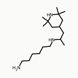 CC(CC1CC(C)(C)NC(C)(C)C1)NCCCCCCN